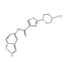 O=C(NC1=CC2=CNSN2C=C1)c1csc(N2CCN(C(=O)O)CC2)n1